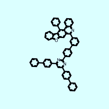 c1ccc(-c2ccc(-c3cc(-c4ccc(-c5ccccc5)cc4)nc(-c4ccc(-c5cccc(-c6nc7ccccc7c7c(-c8ccccc8)c8c(cc67)oc6ccccc68)c5)cc4)n3)cc2)cc1